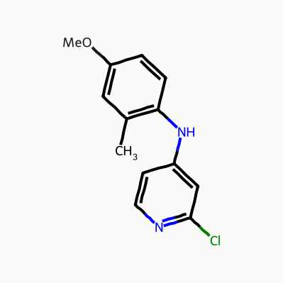 COc1ccc(Nc2ccnc(Cl)c2)c(C)c1